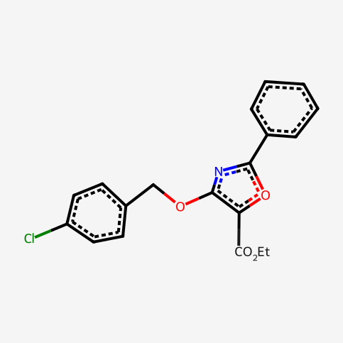 CCOC(=O)c1oc(-c2ccccc2)nc1OCc1ccc(Cl)cc1